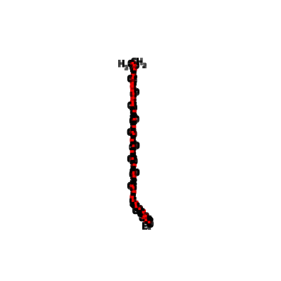 C=C(C)C(=O)OCCCCCC(=O)OCCCCCC(=O)OCCCCCC(=O)OCCCCCC(=O)OCCCCCC(=O)OCCCCCC(=O)OCCCCCC(=O)OCCCCCC(=O)OCCCCCC(=O)OCCCCCCOc1ccc(C(=O)Oc2ccc(C(=O)Oc3ccc(OCC)cc3)cc2)cc1